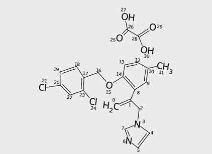 C=C(Cn1ccnc1)c1cc(C)ccc1OCc1ccc(Cl)cc1Cl.O=C(O)C(=O)O